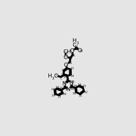 CCc1cc(OCC(COC(C)=O)OC)ccc1-c1nc(-c2ccccc2)nc(-c2ccccc2)n1